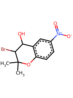 CC1(C)Oc2ccc([N+](=O)[O-])cc2C(O)C1Br